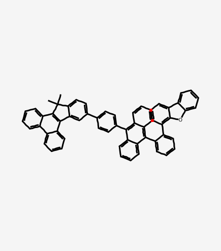 CC1(C)c2ccc(-c3ccc(-c4c5ccccc5c(-c5ccccc5-c5cccc6c5oc5ccccc56)c5ccccc45)cc3)cc2-c2c1c1ccccc1c1ccccc21